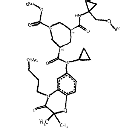 COCCCN1C(=O)C(C)(C)Oc2ccc(N(C(=O)[C@@H]3C[C@H](C(=O)NC4(COC(C)C)CC4)CN(C(=O)OC(C)(C)C)C3)C3CC3)cc21